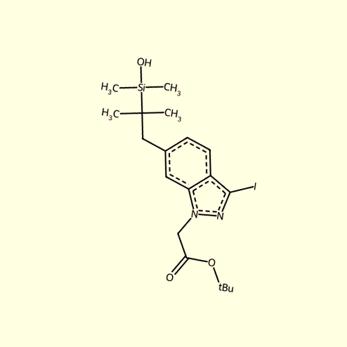 CC(C)(C)OC(=O)Cn1nc(I)c2ccc(CC(C)(C)[Si](C)(C)O)cc21